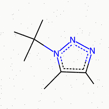 Cc1nnn(C(C)(C)C)c1C